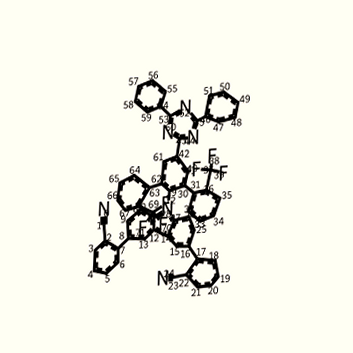 N#Cc1ccccc1-c1ccc2c(c1)c1cc(-c3ccccc3C#N)ccc1n2-c1c(-c2ccccc2C(F)(F)F)cc(-c2nc(-c3ccccc3)nc(-c3ccccc3)n2)cc1-c1ccccc1C(F)(F)F